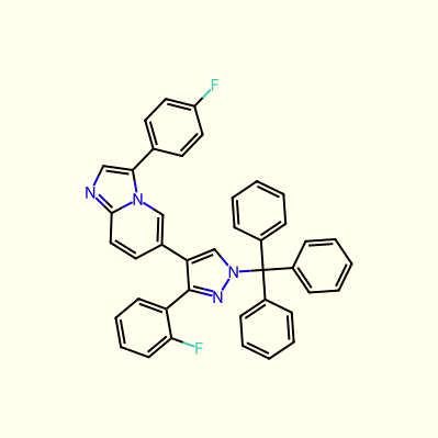 Fc1ccc(-c2cnc3ccc(-c4cn(C(c5ccccc5)(c5ccccc5)c5ccccc5)nc4-c4ccccc4F)cn23)cc1